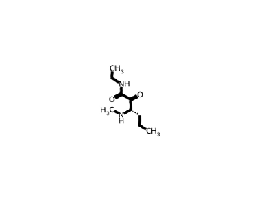 CCC[C@H](NC)C(=O)C(=O)NCC